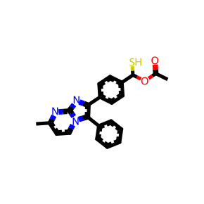 CC(=O)OC(S)c1ccc(-c2nc3nc(C)ccn3c2-c2ccccc2)cc1